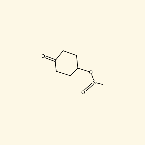 CS(=O)OC1CCC(=O)CC1